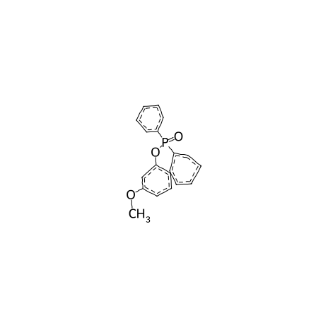 COc1cccc(OP(=O)(c2ccccc2)c2ccccc2)c1